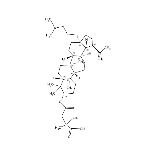 C=C(C)[C@@H]1CC[C@]2(CCCN(C)C)CC[C@]3(C)[C@H](CC[C@@H]4[C@@]5(C)CC[C@H](OC(=O)CC(C)(C)C(=O)O)C(C)(C)[C@@H]5CC[C@]43C)[C@@H]12